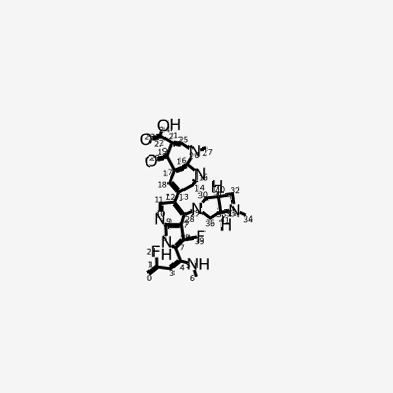 C=C(F)/C=C(/NC)c1[nH]c2ncc(-c3cnc4c(c3)c(=O)c(C(=O)O)cn4C)c(N3C[C@H]4CN(C)[C@H]4C3)c2c1F